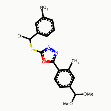 CCC(Sc1nnc(-c2ccc(C(OC)OC)cc2C)o1)c1cccc([N+](=O)[O-])c1